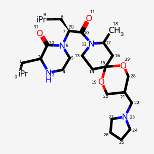 CC(C)CC1NCCN([C@@H](CC(C)C)C(=O)N2CCC3(CC2C)OCC(CN2CCCC2)CO3)C1=O